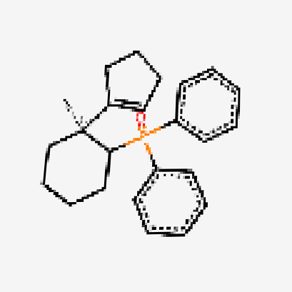 C[C@@]1(C2=CCCC2)CCCCC1P(=O)(c1ccccc1)c1ccccc1